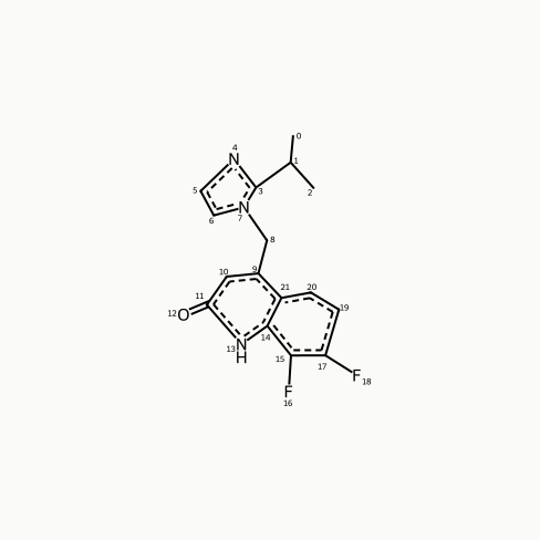 CC(C)c1nccn1Cc1cc(=O)[nH]c2c(F)c(F)ccc12